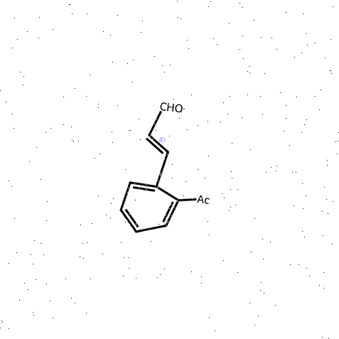 CC(=O)c1ccccc1/C=C/[C]=O